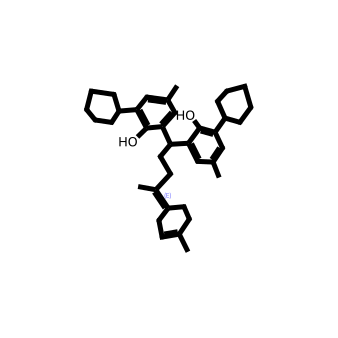 CC1=CC/C(=C(\C)CCC(c2cc(C)cc(C3CCCCC3)c2O)c2cc(C)cc(C3CCCCC3)c2O)CC1